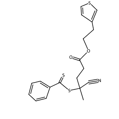 CC(C#N)(CCC(=O)OCCc1ccsc1)SC(=S)c1ccccc1